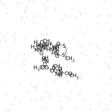 CCCC1CCCCSCCC(=O)Nc2nc(NCCCC(=O)N[C@H](C(=O)N[C@@H](C)C(=O)Nc3ccc(C4=CN5Cc6cc(OC)c(OCCCOc7cc8c(cc7OC)C(=O)N7C=C(c9ccc(OC)cc9)C[C@H]7C=N8)cc6N=C[C@@H]5C4)cc3)C(C)C)cc(n2)NC(=O)CCS1